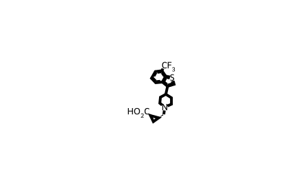 O=C(O)[C@@H]1C[C@H]1CN1CCC(c2csc3c(C(F)(F)F)cccc23)CC1